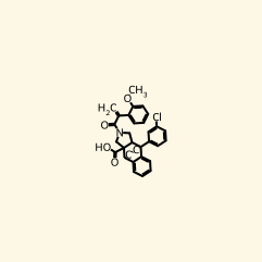 C=C(C(=O)N1CC2C3(c4cccc(Cl)c4)CCC(c4ccccc43)C2(C(=O)O)C1)c1ccccc1OC